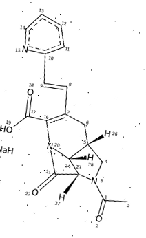 CC(=O)N1C[C@H]2CC(/C=C/c3ccccn3)=C(C(=O)O)N3C(=O)[C@@H]1[C@@H]23.[NaH]